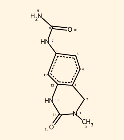 CN1Cc2ccc(NC(N)=O)cc2NC1=O